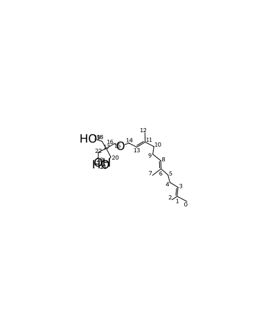 CC(C)=CCC/C(C)=C/CCC(C)=CCOCC(CO)(CO)CO